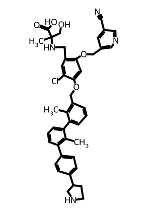 Cc1c(COc2cc(OCc3cncc(C#N)c3)c(CNC(C)(CO)C(=O)O)cc2Cl)cccc1-c1cccc(-c2ccc(C3CCNC3)cc2)c1C